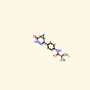 CC(C#N)C(=O)Nc1ccc(C2=NNC(=O)C3CC23)cc1